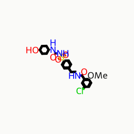 COc1ccc(Cl)cc1C(=O)NCCc1ccc(S(=O)(=O)NC(=O)N[C@H]2CC[C@H](O)CC2)cc1